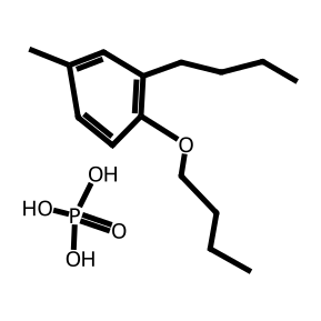 CCCCOc1ccc(C)cc1CCCC.O=P(O)(O)O